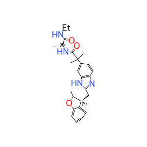 CCNC(=O)[C@@H](C)NC(=O)C(C)(C)c1ccc2nc(C[C@H]3c4ccccc4OC3C)[nH]c2c1